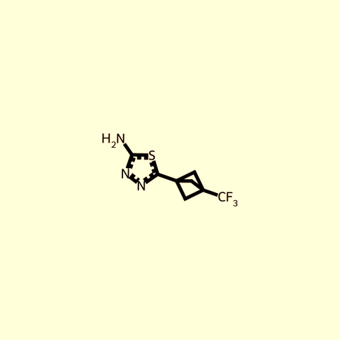 Nc1nnc(C23CC(C(F)(F)F)(C2)C3)s1